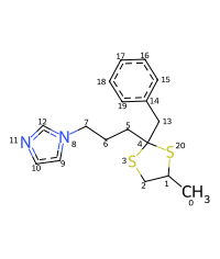 CC1CSC(CCCn2ccnc2)(Cc2ccccc2)S1